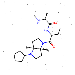 CC[C@H](NC(=O)[C@H](C)NC)C(=O)N1CC[C@@H]2[C@H]1CCN2C1CCCC1